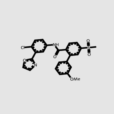 COc1cccc(-c2cc(S(C)(=O)=O)ccc2C(=O)Nc2ccc(Cl)c(-c3ncco3)c2)c1